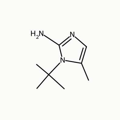 Cc1cnc(N)n1C(C)(C)C